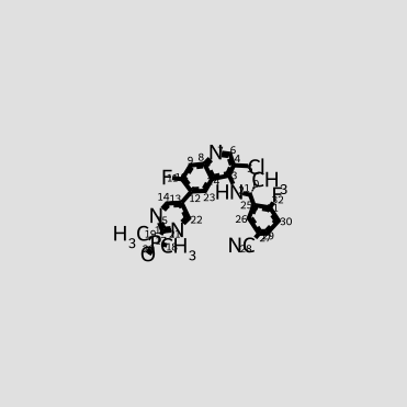 C[C@@H](Nc1c(Cl)cnc2cc(F)c(-c3cnc(P(C)(C)=O)nc3)cc12)c1cc(C#N)ccc1F